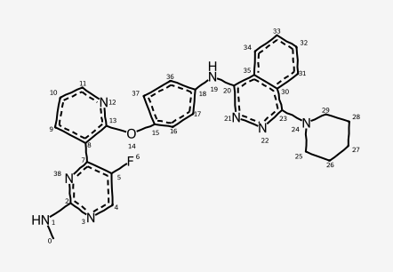 CNc1ncc(F)c(-c2cccnc2Oc2ccc(Nc3nnc(N4CCCCC4)c4ccccc34)cc2)n1